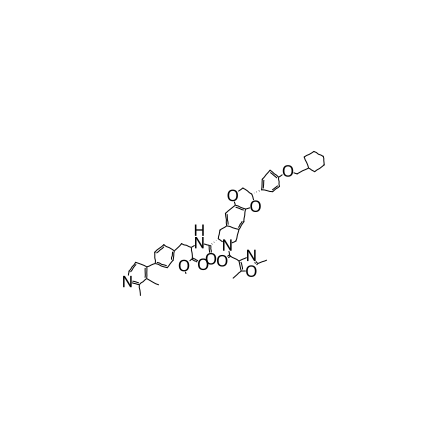 COC(=O)C(Cc1ccc(-c2ccnc(C)c2C)cc1)NC(=O)[C@@H]1Cc2cc3c(cc2CN1C(=O)c1nc(C)oc1C)O[C@@H](c1ccc(OCC2CCCCC2)cc1)CO3